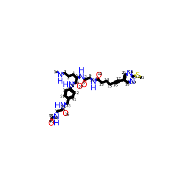 CNCCCC(NC(=O)CNC(=O)CCCC#Cc1cnc(SC)nc1)C(=O)Nc1ccc(CNC(=O)CNC=O)cc1